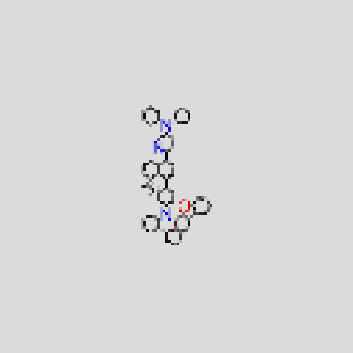 C[Si]1(C)c2cc(N(c3ccccc3-c3ccccc3)c3cccc4c3oc3ccccc34)ccc2-c2ccc(-c3ccc(N(c4ccccc4)c4ccccc4)cn3)c3cccc1c23